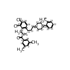 Cc1cc(C)cc(C(=O)N(C)C[C@@H](CCN2CCN(c3ccccc3C)CC2)c2ccc(Cl)c(Cl)c2)c1